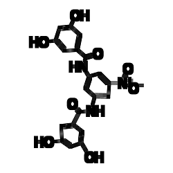 O=C(Nc1cc(NC(=O)c2cc(O)cc(O)c2)cc([N+](=O)[O-])c1)c1cc(O)cc(O)c1